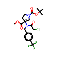 COC(=O)[C@]1(N(Cc2ccc(C(F)(F)F)cc2)C(=O)CCl)CCN(C(=O)OC(C)(C)C)C1